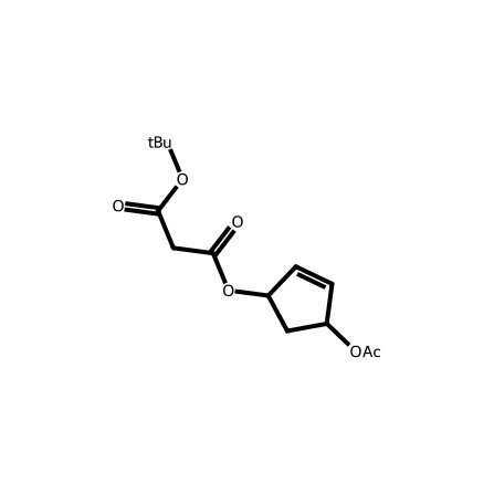 CC(=O)OC1C=CC(OC(=O)CC(=O)OC(C)(C)C)C1